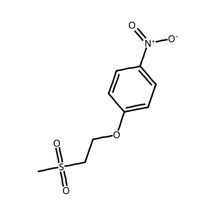 CS(=O)(=O)CCOc1ccc([N+](=O)[O-])cc1